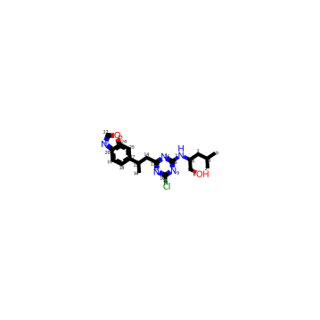 CC(C)CC(CO)Nc1nc(Cl)nc(CC(C)c2ccc3ncoc3c2)n1